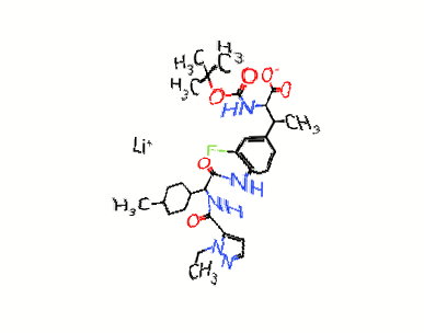 CCn1nccc1C(=O)N[C@H](C(=O)Nc1ccc([C@H](C)[C@@H](NC(=O)OC(C)(C)C)C(=O)[O-])cc1F)C1CCC(C)CC1.[Li+]